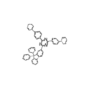 C1=CCC(c2ccc(-c3nc(-c4ccc(C5=CCCC=C5)cc4)nc(-c4ccc5c(c4)C(c4ccccc4)(c4ccccc4)c4ccccc4-5)n3)cc2)C=C1